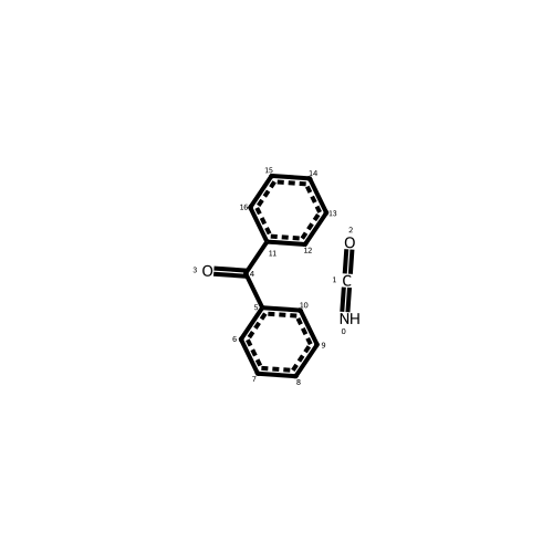 N=C=O.O=C(c1ccccc1)c1ccccc1